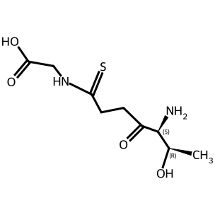 C[C@@H](O)[C@H](N)C(=O)CCC(=S)NCC(=O)O